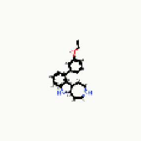 CCOc1cccc(-c2cccc3c2C2CCNCCC2N3)c1